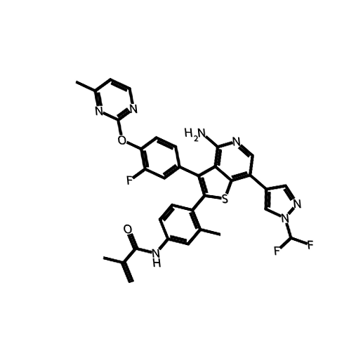 C=C(C)C(=O)Nc1ccc(-c2sc3c(-c4cnn(C(F)F)c4)cnc(N)c3c2-c2ccc(Oc3nccc(C)n3)c(F)c2)c(C)c1